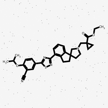 CCOC(=O)C1(CN2CCC3(CCc4c(-c5nsc(-c6ccc(OC(C)C)c(C#N)c6)n5)cccc43)C2)CC1